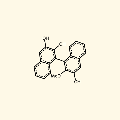 COc1c(O)cc2ccccc2c1-c1c(O)c(O)cc2ccccc12